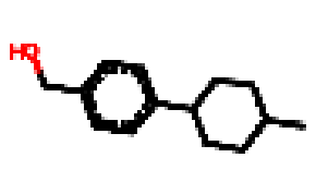 CC1CCC(c2ccc(CO)cc2)CC1